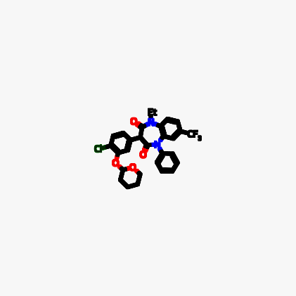 CCN1C(=O)C(c2ccc(Cl)c(OC3CCCCO3)c2)C(=O)N(c2ccccc2)c2cc(C(F)(F)F)ccc21